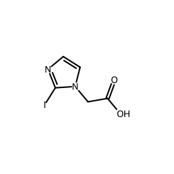 O=C(O)Cn1ccnc1I